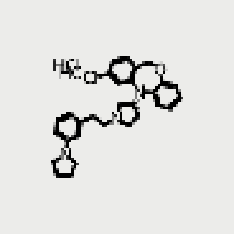 Cl.Cl.Clc1ccc2c(c1)N([C@@H]1CCN(CCc3cccc(N4CCCC4)c3)C1)c1ccccc1OC2